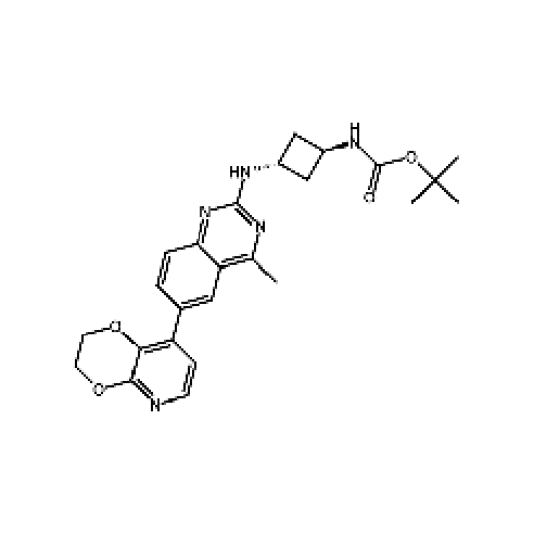 Cc1nc(N[C@H]2C[C@H](NC(=O)OC(C)(C)C)C2)nc2ccc(-c3ccnc4c3OCCO4)cc12